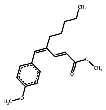 CCCCCC(C=CC(=O)OC)=Cc1ccc(OC)cc1